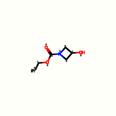 CC(C)COC(=O)N1CC(O)C1